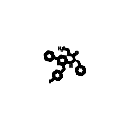 CCOC(=O)[C@H](Cc1ccccc1)Nc1ncc(-c2ccccc2)nc1Cc1ccc(F)cc1